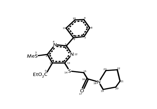 CCOC(=O)c1c(SC)nc(-c2ccccc2)nc1SCC(=O)N1CCCCC1